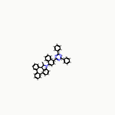 CC1C2c3ccccc3-c3ccccc3-c3cccc(c32)N1c1ccc(-c2nc(-c3ccccc3)nc(-c3ccccc3)n2)c2ccccc12